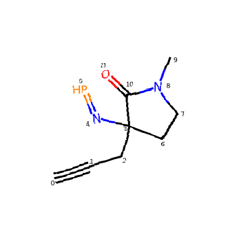 C#CCC1(N=P)CCN(C)C1=O